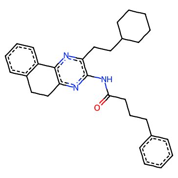 O=C(CCCc1ccccc1)Nc1nc2c(nc1CCC1CCCCC1)-c1ccccc1CC2